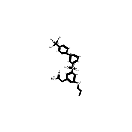 CCCOc1cc(CC(=O)O)cc(S(=O)(=O)c2cccc(-c3ccc(C(F)(F)F)cc3)c2)c1